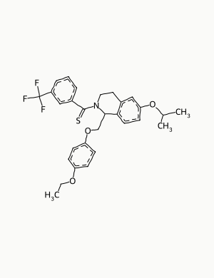 CCOc1ccc(OCC2c3ccc(OC(C)C)cc3CCN2C(=S)c2cccc(C(F)(F)F)c2)cc1